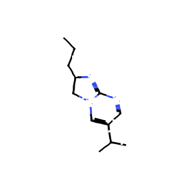 CCCC1CN2C=C(C(C)C)C=NC2=N1